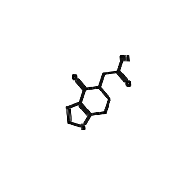 O=C(O)CC1CCc2sccc2C1=O